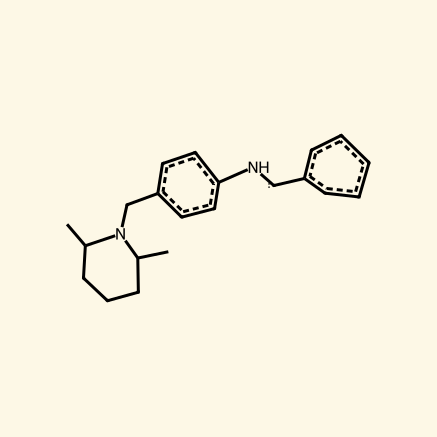 CC1CCCC(C)N1Cc1ccc(N[C]c2ccccc2)cc1